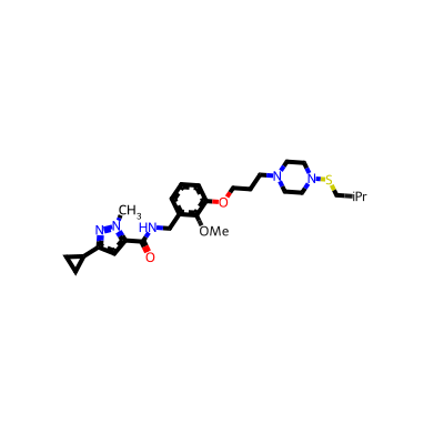 COc1c(CNC(=O)c2cc(C3CC3)nn2C)cccc1OCCCN1CCN(SCC(C)C)CC1